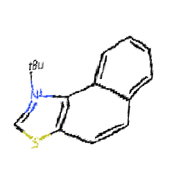 CC(C)(C)[n+]1csc2ccc3ccccc3c21